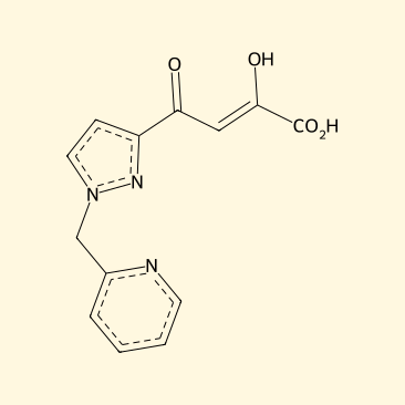 O=C(O)C(O)=CC(=O)c1ccn(Cc2ccccn2)n1